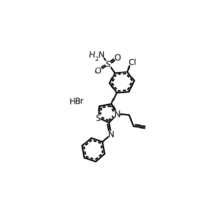 Br.C=CCn1c(-c2ccc(Cl)c(S(N)(=O)=O)c2)csc1=Nc1ccccc1